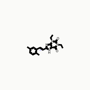 CCn1c(=O)c2[nH]c(/C=C/c3cc(C)ccc3C)nc2n(CC)c1=O